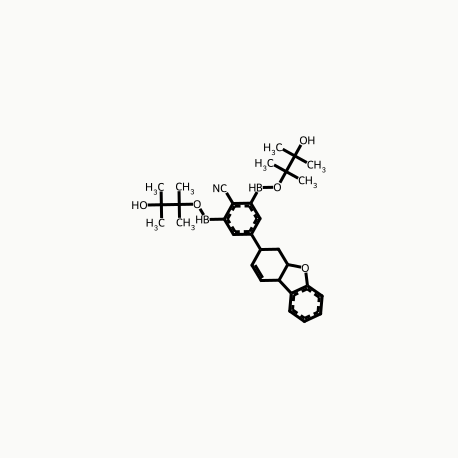 CC(C)(O)C(C)(C)OBc1cc(C2C=CC3c4ccccc4OC3C2)cc(BOC(C)(C)C(C)(C)O)c1C#N